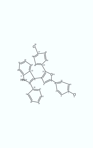 Clc1ccc(-c2cc(-c3c(-c4ccccc4)[nH]c4ccccc34)c(-c3ccc(Cl)cc3)o2)cc1